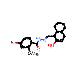 COc1cc(Br)ccc1C(=O)N/N=C/c1c(O)ccc2ccccc12